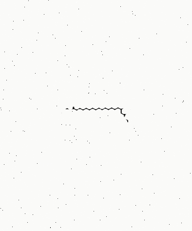 CCOC(=O)CCCCCCCCCCCCCCC(C)CC(=O)OCC